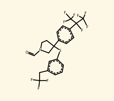 O=CN1CCC(Sc2cccc(CC(F)(F)F)c2)(c2ccc(C(F)(C(F)(F)F)C(F)(F)F)cc2)C1